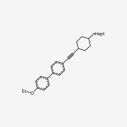 CCCCCCCC1CCC(C#Cc2ccc(-c3ccc(OCC)cc3)cc2)CC1